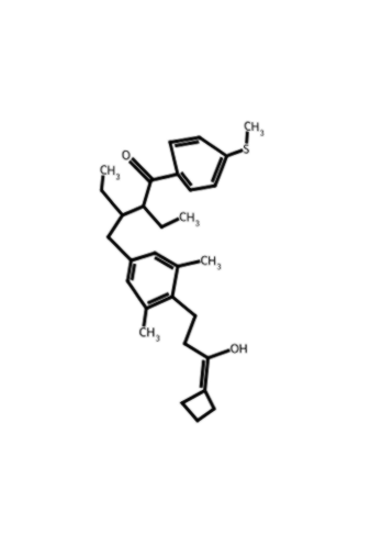 CCC(Cc1cc(C)c(CCC(O)=C2CCC2)c(C)c1)C(CC)C(=O)c1ccc(SC)cc1